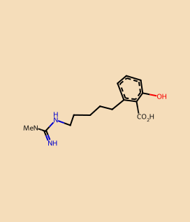 CNC(=N)NCCCCCc1cccc(O)c1C(=O)O